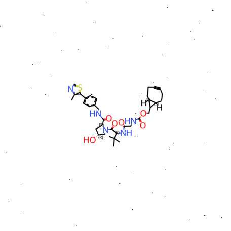 Cc1ncsc1-c1ccc(CNC(=O)[C@@H]2C[C@@H](O)CN2C(=O)[C@@H](NC(=O)CNC(=O)OCC2[C@H]3CCC#CCC[C@@H]23)C(C)(C)C)cc1